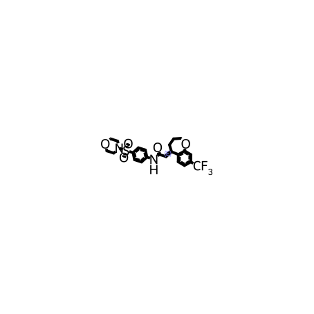 O=C(/C=C1\CCCOc2cc(C(F)(F)F)ccc21)Nc1ccc(S(=O)(=O)N2CCOCC2)cc1